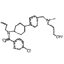 C=CCN(C(=O)c1ccc(Cl)cc1)C1CCC(c2ccc(CN(C)CCCO)cc2)CC1